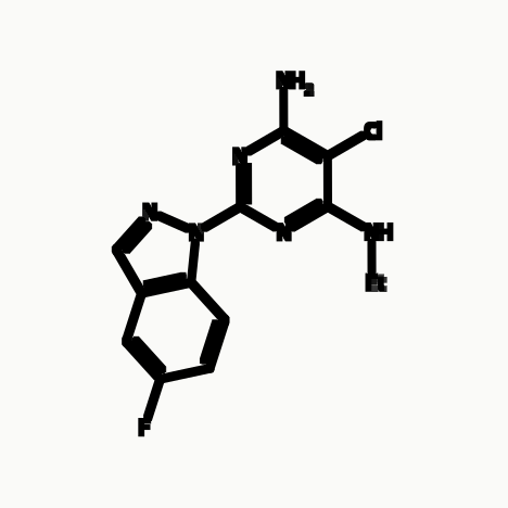 CCNc1nc(-n2ncc3cc(F)ccc32)nc(N)c1Cl